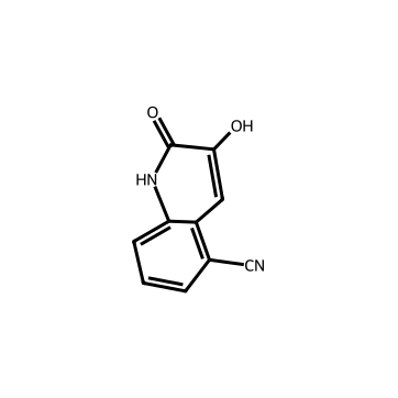 N#Cc1cccc2[nH]c(=O)c(O)cc12